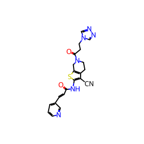 N#Cc1c(NC(=O)/C=C/c2cccnc2)sc2c1CCN(C(=O)CCn1cnnc1)C2